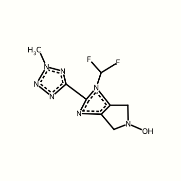 Cn1nnc(-c2nc3c(n2C(F)F)CN(O)C3)n1